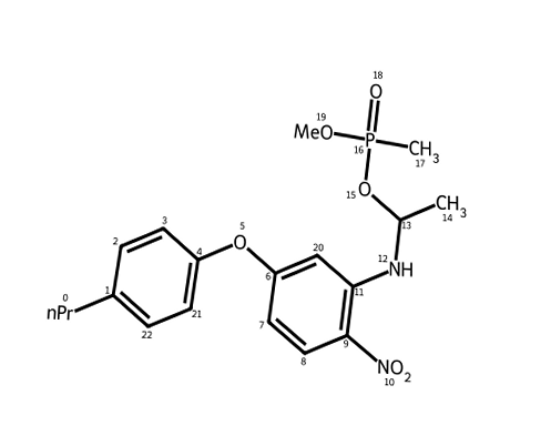 CCCc1ccc(Oc2ccc([N+](=O)[O-])c(NC(C)OP(C)(=O)OC)c2)cc1